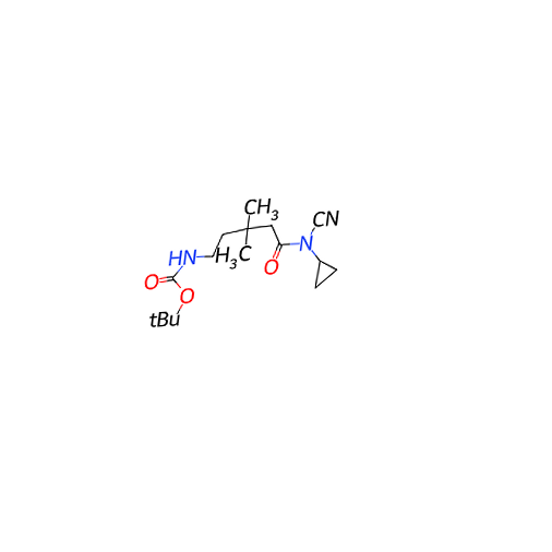 CC(C)(CCNC(=O)OC(C)(C)C)CC(=O)N(C#N)C1CC1